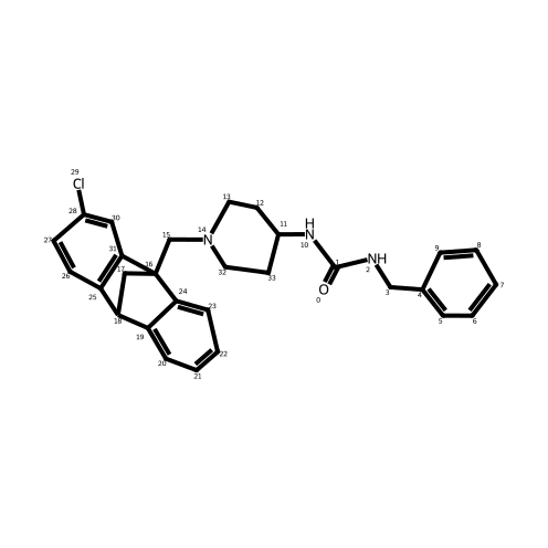 O=C(NCc1ccccc1)NC1CCN(CC23CC(c4ccccc42)c2ccc(Cl)cc23)CC1